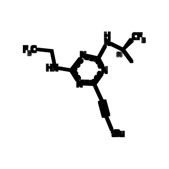 C[C@@H](Nc1nc(C#CC(C)(C)C)nc(NCC(F)(F)F)n1)C(F)(F)F